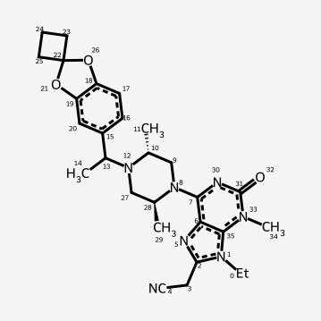 CCn1c(CC#N)nc2c(N3C[C@@H](C)N(C(C)c4ccc5c(c4)OC4(CCC4)O5)C[C@@H]3C)nc(=O)n(C)c21